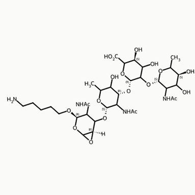 CC(=O)NC1C(O)[C@H](O)C(C)O[C@H]1OC1C(O)[C@H](O)C(C(=O)O)O[C@H]1O[C@H]1C(O)C(C)O[C@@H](OC2C(NC(C)=O)[C@H](OCCCCCN)OC3O[C@@H]32)C1NC(C)=O